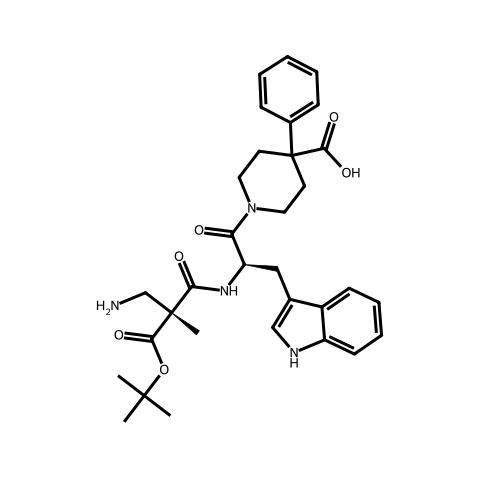 CC(C)(C)OC(=O)[C@](C)(CN)C(=O)N[C@H](Cc1c[nH]c2ccccc12)C(=O)N1CCC(C(=O)O)(c2ccccc2)CC1